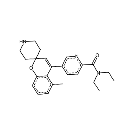 CCN(CC)C(=O)c1ccc(C2=CC3(CCNCC3)Oc3cccc(C)c32)cn1